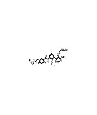 CNCCOc1c(N)ncnc1-c1cc(F)cc(NC(=O)c2cc3c(cc2F)OC(C)(C)C3)c1C